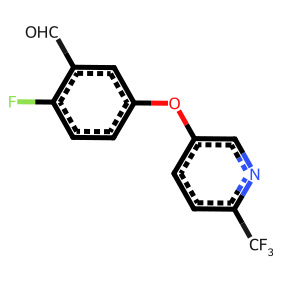 O=Cc1cc(Oc2ccc(C(F)(F)F)nc2)ccc1F